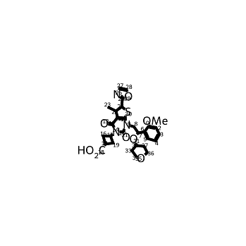 COc1ccccc1C(Cn1c2c(c(=O)n(C3CC(C(=O)O)C3)c1=O)C(C)C(c1ncco1)S2)OC1CCOCC1